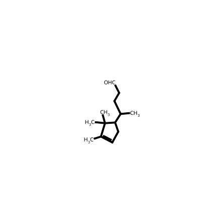 CC1=CCC(C(C)CCC=O)C1(C)C